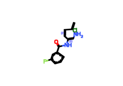 C=C(Cl)/C=C\C(=C/N)NC(=O)c1cccc(F)c1